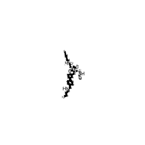 CCCCCNC(=O)CN1CC(=O)N(C)[C@@H](Cc2cccc(-c3ccc(CNCCCC)cc3)c2)C1=O.CNC=O